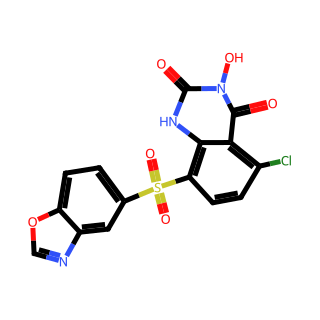 O=c1[nH]c2c(S(=O)(=O)c3ccc4ocnc4c3)ccc(Cl)c2c(=O)n1O